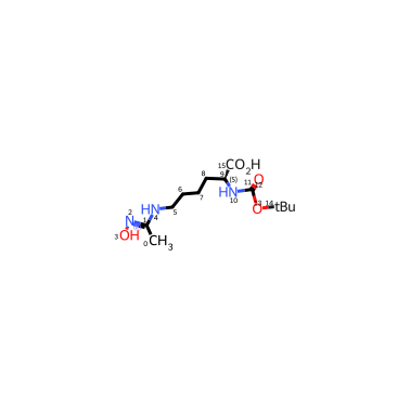 C/C(=N\O)NCCCC[C@H](NC(=O)OC(C)(C)C)C(=O)O